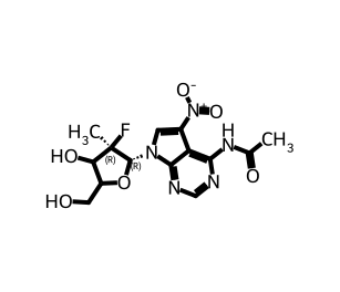 CC(=O)Nc1ncnc2c1c([N+](=O)[O-])cn2[C@@H]1OC(CO)C(O)[C@@]1(C)F